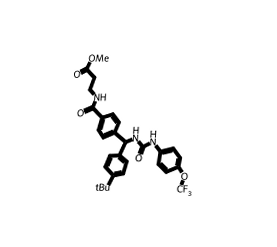 COC(=O)CCNC(=O)c1ccc(C(NC(=O)Nc2ccc(OC(F)(F)F)cc2)c2ccc(C(C)(C)C)cc2)cc1